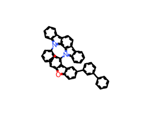 c1ccc(-c2cccc(-c3ccc4oc5cccc(-n6c7ccccc7c7ccc8c9ccccc9n(-c9ccccc9)c8c76)c5c4c3)c2)cc1